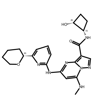 CNc1cc(Nc2cccc([C@H]3CCCCO3)n2)nc2c(C(=O)N[C@H]3CC[C@H]3O)cnn12